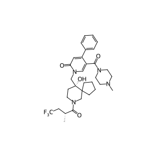 C[C@H](CC(F)(F)F)C(=O)N1CC[C@@](O)(Cn2cc(C(=O)N3CCN(C)CC3)c(-c3ccccc3)cc2=O)C2(CCCC2)C1